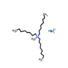 CCCCCCCC[N+](C)(CCCCCCCC)CCCCCCCC.Cl.N.[Cl-]